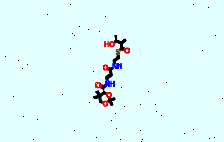 CC(C(=O)SCCNC(=O)C=CNC(=O)[C@@H]1OC(C)(C)OCC1(C)C)[C@H](C)O